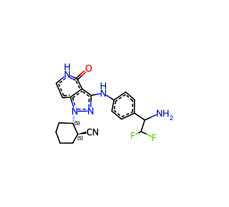 N#C[C@H]1CCCC[C@@H]1n1nc(Nc2ccc(C(N)C(F)F)cc2)c2c(=O)[nH]ccc21